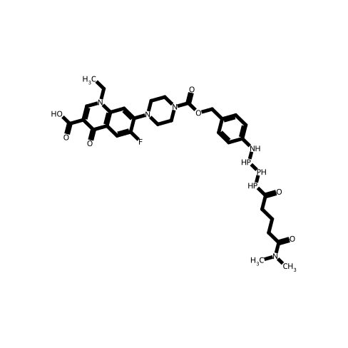 CCn1cc(C(=O)O)c(=O)c2cc(F)c(N3CCN(C(=O)OCc4ccc(NPPPC(=O)CCCC(=O)N(C)C)cc4)CC3)cc21